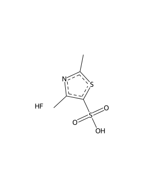 Cc1nc(C)c(S(=O)(=O)O)s1.F